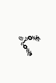 CN(CCCCN(C)c1ccc(N=Nc2scc[n+]2C)cc1)c1ccc(N=Nc2scc[n+]2C)cc1.[Cl-].[Cl-]